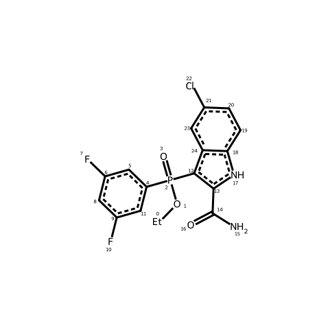 CCOP(=O)(c1cc(F)cc(F)c1)c1c(C(N)=O)[nH]c2ccc(Cl)cc12